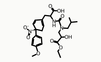 CCOC(=O)C(O)CN(CC(C)C)C(=O)NC(CC1=CCC(c2ccc(OC)cc2)([N+](=O)[O-])C=C1)C(=O)O